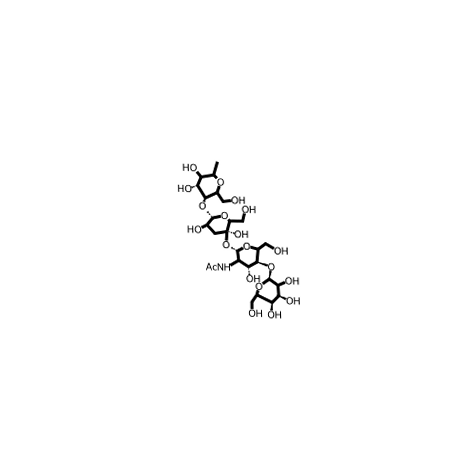 CC(=O)NC1[C@H](O[C@@]2(O)CC(O)[C@H](O[C@@H]3C(CO)OC(C)C(O)[C@H]3O)OC2CO)OC(CO)[C@@H](O[C@@H]2OC(CO)[C@H](O)[C@H](O)C2O)[C@@H]1O